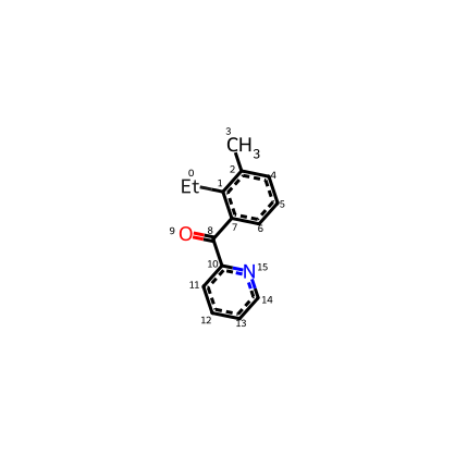 CCc1c(C)cccc1C(=O)c1ccccn1